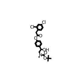 CN(CC(O)c1ccc(OC(=O)Cc2ccc(Cl)cc2Cl)cc1)C(=O)OC(C)(C)C